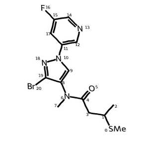 CSC(C)CC(=O)N(C)c1cn(-c2cncc(F)c2)nc1Br